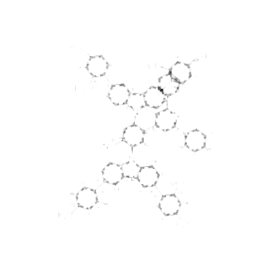 Cc1ccc(-c2ccc3c(c2)c2cc(-c4ccc(C)cc4C)ccc2n3-c2cc(C#N)c(-n3c4ccc(-c5ccc(C(F)(F)F)cc5C(F)(F)F)cc4c4cc(-c5ccc(C(F)(F)F)cc5C(F)(F)F)ccc43)cc2-c2cc(-c3ccccc3)nc(-c3ccccc3)c2)c(C)c1